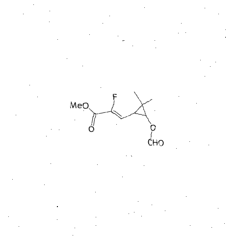 COC(=O)C(F)=CC1C(OC=O)C1(C)C